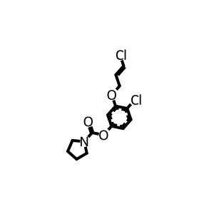 O=C(Oc1ccc(Cl)c(OCC=CCl)c1)N1CCCC1